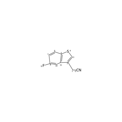 N#CCc1csc2ccc(F)cc12